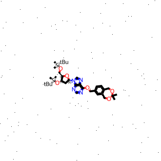 CC1(C)OCc2ccc(COc3ncnc4c3ncn4[C@H]3C[C@H](O[Si](C)(C)C(C)(C)C)[C@@H](CO[Si](C)(C)C(C)(C)C)O3)cc2CO1